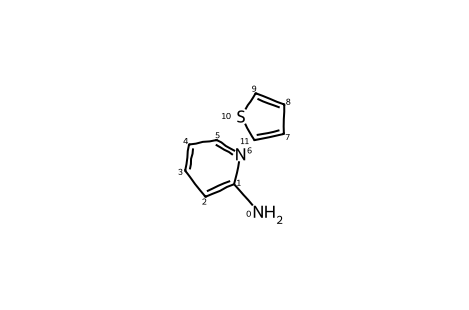 Nc1ccccn1.c1ccsc1